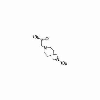 CC(C)(C)C(=O)CN1CCC2(CC1)CN(C(C)(C)C)C2